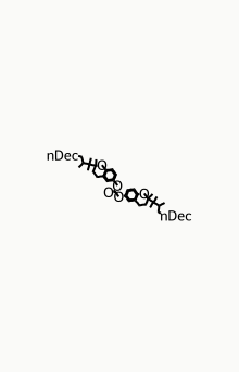 CCCCCCCCCCCC(C)C(C)(C)C1(C)CCc2cc(OC(=O)Oc3ccc4c(c3)CCC(C)(C(C)(C)C(C)CCCCCCCCCCC)O4)ccc2O1